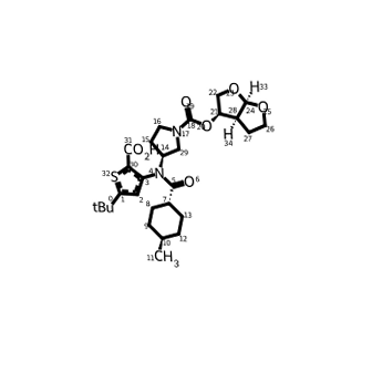 CC(C)(C)c1cc(N(C(=O)[C@H]2CC[C@H](C)CC2)[C@H]2CCN(C(=O)O[C@H]3CO[C@H]4OCC[C@H]43)C2)c(C(=O)O)s1